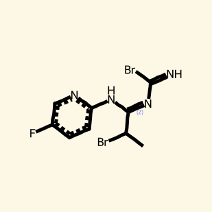 CC(Br)/C(=N/C(=N)Br)Nc1ccc(F)cn1